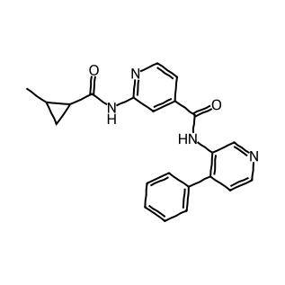 CC1CC1C(=O)Nc1cc(C(=O)Nc2cnccc2-c2ccccc2)ccn1